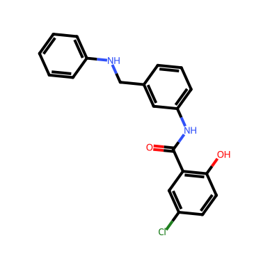 O=C(Nc1cccc(CNc2ccccc2)c1)c1cc(Cl)ccc1O